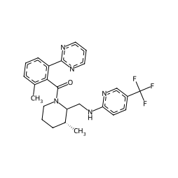 Cc1cccc(-c2ncccn2)c1C(=O)N1CCC[C@@H](C)C1CNc1ccc(C(F)(F)F)cn1